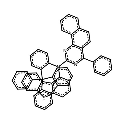 c1ccc(-c2nc(N(c3ccccc3C3(c4ccccc4)c4ccccc4-c4ccccc43)c3cccc4sc5ccccc5c34)nc3c2ccc2ccccc23)cc1